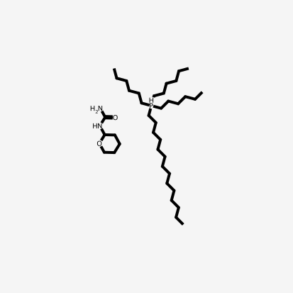 CCCCCCCCCCCCCC[PH](CCCCCC)(CCCCCC)CCCCCC.NC(=O)NC1CCCCO1